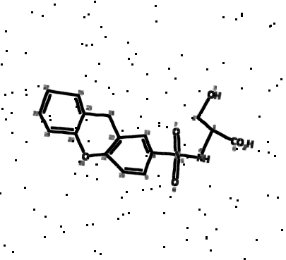 O=C(O)C(CO)NS(=O)(=O)c1ccc2c(c1)Cc1ccccc1O2